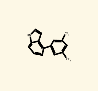 FC(F)(F)c1cc(-c2cccc3[nH]ccc23)cc(C(F)(F)F)c1